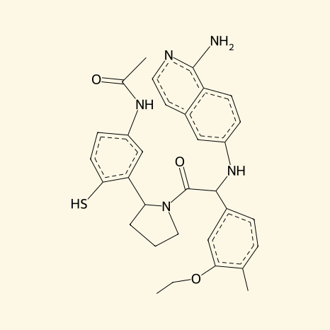 CCOc1cc(C(Nc2ccc3c(N)nccc3c2)C(=O)N2CCCC2c2cc(NC(C)=O)ccc2S)ccc1C